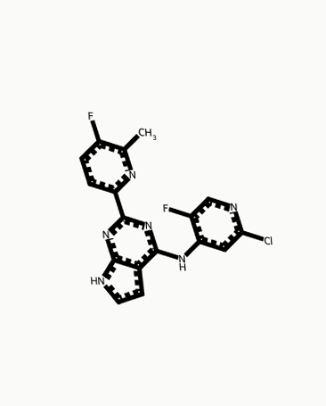 Cc1nc(-c2nc(Nc3cc(Cl)ncc3F)c3cc[nH]c3n2)ccc1F